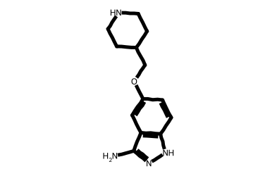 Nc1n[nH]c2ccc(OCC3CCNCC3)cc12